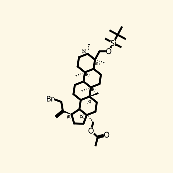 C=C(CBr)[C@@H]1CC[C@]2(COC(C)=O)CC[C@]3(C)C(CCC4[C@@]5(C)CC[C@H](C)[C@@](C)(CO[Si](C)(C)C(C)(C)C)C5CC[C@]43C)C12